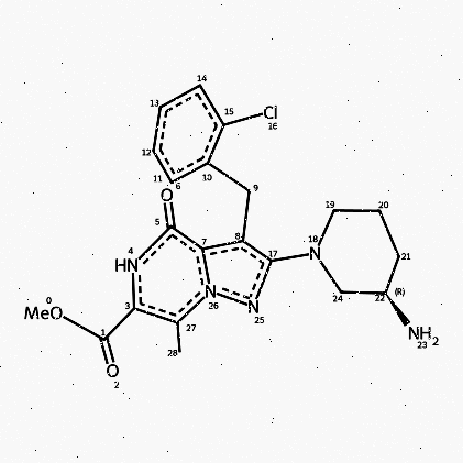 COC(=O)c1[nH]c(=O)c2c(Cc3ccccc3Cl)c(N3CCC[C@@H](N)C3)nn2c1C